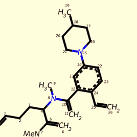 C=CCCC(C(=C)NC)N(C)C(=C)c1cc(N2CCC(C)CC2)ccc1C=C